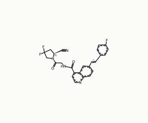 N#C[C@@H]1CC(F)(F)CN1C(=O)CNC(=O)c1ccnc2ccc(/C=C/c3ccc(F)cc3)cc12